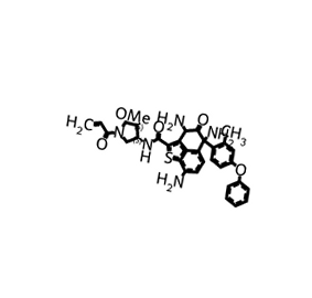 C=CC(=O)N1C[C@H](NC(=O)c2sc3c(N)ccc4c3c2C(N)C(=O)C4(N)c2ccc(Oc3ccccc3)cc2C)[C@@H](OC)C1